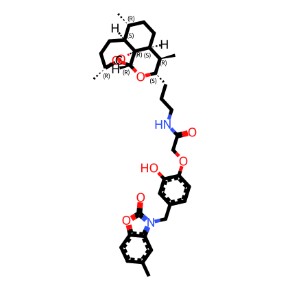 Cc1ccc2oc(=O)n(Cc3ccc(OCC(=O)NCCC[C@@H]4O[C@@H]5O[C@]6(C)CC[C@H]7[C@H](C)CC[C@@H]([C@H]4C)[C@@]57OC6)c(O)c3)c2c1